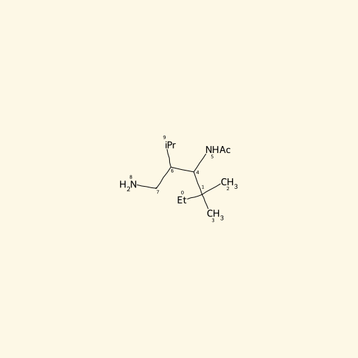 CCC(C)(C)C(NC(C)=O)C(CN)C(C)C